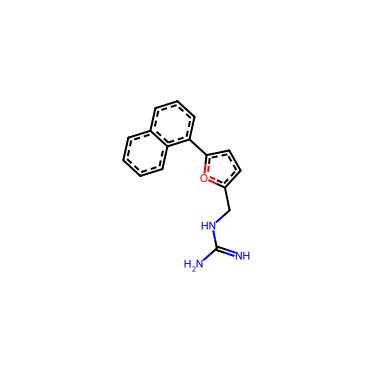 N=C(N)NCc1ccc(-c2cccc3ccccc23)o1